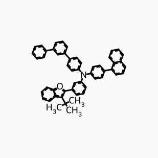 CC(C)(C)c1c(-c2cccc(N(c3ccc(-c4cccc(-c5ccccc5)c4)cc3)c3ccc(-c4cccc5ccccc45)cc3)c2)oc2ccccc12